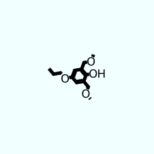 CCCOc1cc(COC)c(O)c(COC)c1